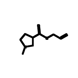 C=CCOC(=O)C1CCN(C)C1